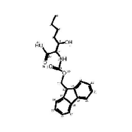 CCCCC(O)C(NC(=O)OCC1c2ccccc2-c2ccccc21)C(=O)O